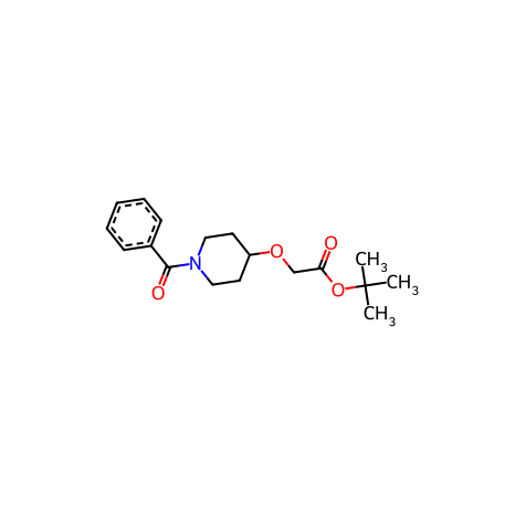 CC(C)(C)OC(=O)COC1CCN(C(=O)c2ccccc2)CC1